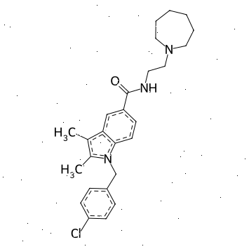 Cc1c(C)n(Cc2ccc(Cl)cc2)c2ccc(C(=O)NCCN3CCCCCC3)cc12